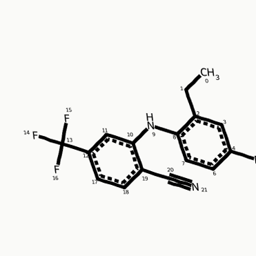 CCc1cc(F)ccc1Nc1cc(C(F)(F)F)ccc1C#N